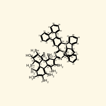 Bc1c(B)c(B)c2c(c1B)c1c(B)c(B)c(-c3nc(-c4ccccc4)nc(-c4cc5c6ccccc6c6ccccc6c5cc4-n4c5ccccc5c5ccccc54)n3)c(B)c1c1c(B)c(B)c(O)c(B)c21